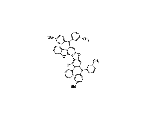 Cc1cccc(N(c2ccc(C(C)(C)C)cc2)c2cc3oc4cc(N(c5ccc(C(C)(C)C)cc5)c5cccc(C)c5)c5c6ccccc6oc5c4c3c3oc4ccccc4c23)c1